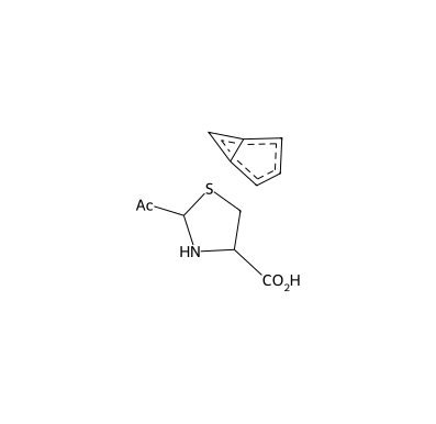 CC(=O)C1NC(C(=O)O)CS1.c1cc2cc-2c1